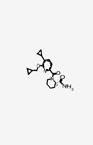 NC(=O)[C@@H]1CCCCN1C(=O)c1ccc(C2CC2)c(OCC2CC2)n1